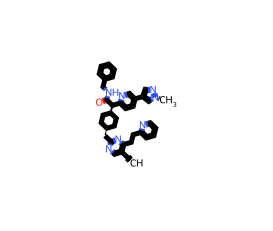 C#Cc1cnc(C[C@H]2CC[C@H](C(C(=O)NCc3ccccc3)c3ccc(-c4cnn(C)c4)cn3)CC2)nc1CCc1ccccn1